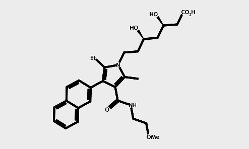 CCc1c(-c2ccc3ccccc3c2)c(C(=O)NCCOC)c(C)n1CC[C@@H](O)C[C@@H](O)CC(=O)O